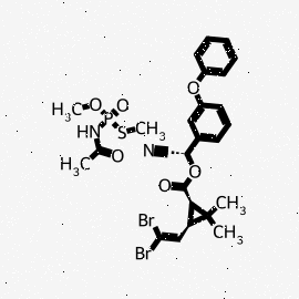 CC1(C)[C@H](C(=O)O[C@H](C#N)c2cccc(Oc3ccccc3)c2)[C@@H]1C=C(Br)Br.COP(=O)(NC(C)=O)SC